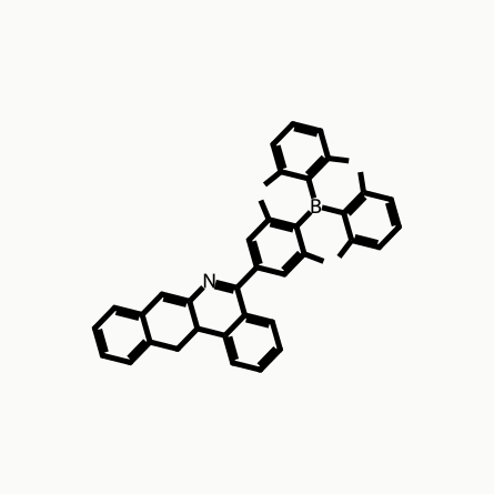 Cc1cccc(C)c1B(c1c(C)cccc1C)c1c(C)cc(C2=NC3=Cc4ccccc4CC3c3ccccc32)cc1C